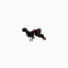 COCCn1ncc2c(F)c(-n3ccn(-c4c5c(nn4-c4cc(C)c(F)c(C)c4)CCN(C(=O)c4cc6cc([C@H]7CCOC(C)(C)C7)ccc6n4[C@@]4(c6noc(=O)[nH]6)C[C@@H]4C)[C@H]5C)c3=O)ccc21